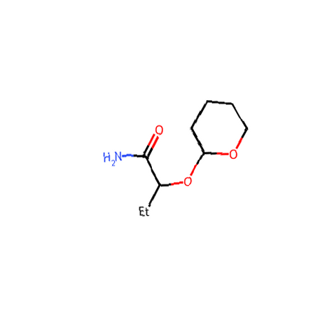 CCC(OC1CCCCO1)C(N)=O